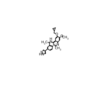 COc1cc2nc(C)nc(N[C@H](C)c3cccc(-c4cn[nH]c4)c3)c2cc1OCC1CC1